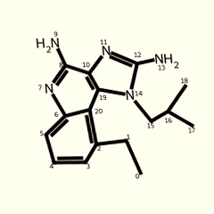 CCc1cccc2nc(N)c3nc(N)n(CC(C)C)c3c12